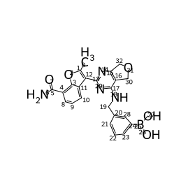 Cc1oc2c(C(N)=O)cccc2c1-c1nc2c(c(NCc3cccc(B(O)O)c3)n1)COC2